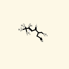 CCC(CC#N)C(=O)/C=C(\O)C(C)(C)C